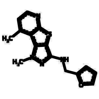 Cc1ccnc2sc3c(NCc4ccco4)nn(C)c3c12